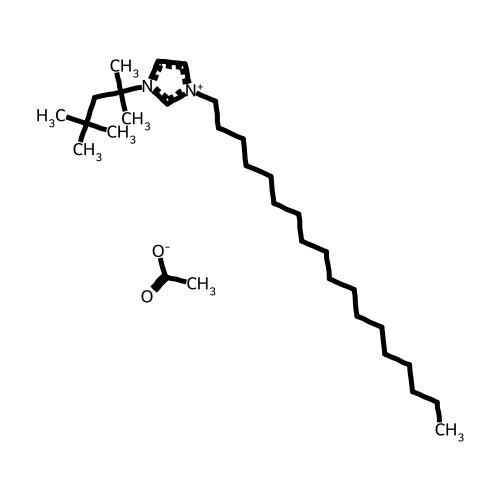 CC(=O)[O-].CCCCCCCCCCCCCCCCCC[n+]1ccn(C(C)(C)CC(C)(C)C)c1